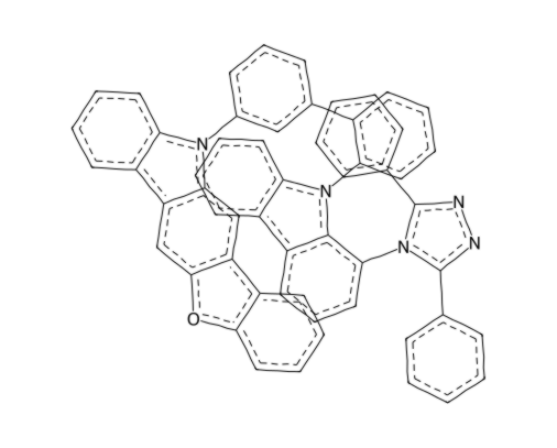 c1ccc(-c2nnc(-c3ccccc3)n2-c2cccc3c4ccccc4n(-c4ccccc4-c4cccc(-n5c6ccccc6c6cc7oc8ccccc8c7cc65)c4)c23)cc1